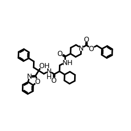 O=C(NCC(C(=O)NCC(O)(CCc1ccccc1)c1nc2ccccc2o1)C1CCCCC1)C1CCN(C(=O)OCc2ccccc2)CC1